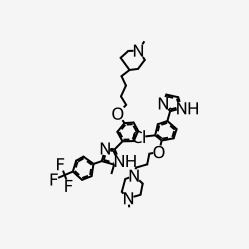 CN1CCN(CCCOc2ccc(-c3ncc[nH]3)cc2Cl)CC1.Cc1[nH]c(-c2cccc(OCCCCC3CCN(C)CC3)c2)nc1-c1ccc(C(F)(F)F)cc1